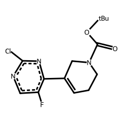 CC(C)(C)OC(=O)N1CCC=C(c2nc(Cl)ncc2F)C1